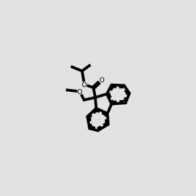 COCC1(C(=O)OC(C)C)c2ccccc2-c2ccccc21